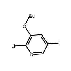 CCC(C)Oc1cc(I)cnc1Cl